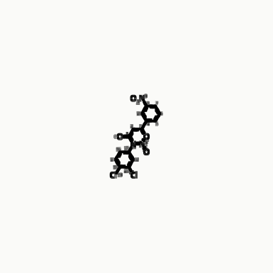 O=c1cc(-c2cccc([N+](=O)[O-])c2)o[n+](=O)n1-c1ccc(Cl)c(Cl)c1